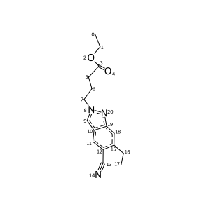 CCOC(=O)CCCn1cc2cc(C#N)c(CC)cc2n1